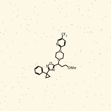 COCCC(c1nc(C2(c3ccccc3)CC2)no1)N1CCN(c2ccc(C(F)(F)F)cn2)CC1